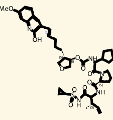 C=C[C@H](C)C(NC(=O)[C@@H]1CCCN1C(=O)C(NC(=O)O[C@H]1COC[C@@H]1CCC/C=C/c1cc2ccc(OC)cc2nc1O)C1CCCC1)C(=O)NS(=O)(=O)C1CC1